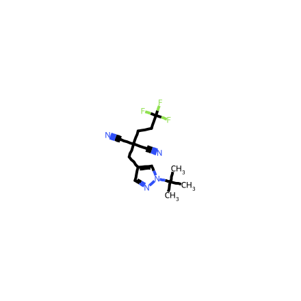 CC(C)(C)n1cc(CC(C#N)(C#N)CCC(F)(F)F)cn1